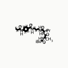 CCC(C)C(=O)N[C@H](C)C(=O)N[C@@H](C(=O)NCCCNC(=O)c1ccc(NC(=O)CI)cc1)C(C)C